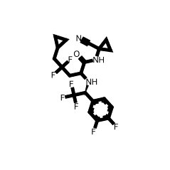 N#CC1(NC(=O)C(CC(F)(F)CC2CC2)N[C@@H](c2ccc(F)c(F)c2)C(F)(F)F)CC1